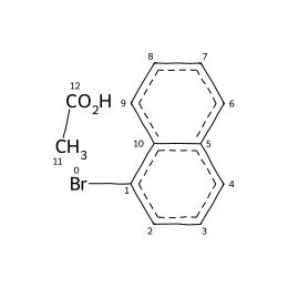 Brc1cccc2ccccc12.CC(=O)O